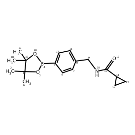 CC1(C)OB(c2ccc(CNC(=O)C3CC3)cc2)OC1(C)C